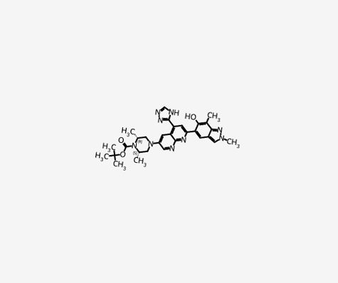 Cc1c(O)c(-c2cc(-c3nnc[nH]3)c3cc(N4C[C@@H](C)N(C(=O)OC(C)(C)C)[C@@H](C)C4)cnc3n2)cc2cn(C)nc12